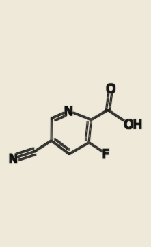 N#Cc1cnc(C(=O)O)c(F)c1